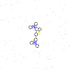 c1ccc(-n2c3ccccc3c3cc(-c4ccc5c(c4)Sc4cccc6c4c-5cc4c6c5ccccc5n4-c4ccccc4)ccc32)cc1